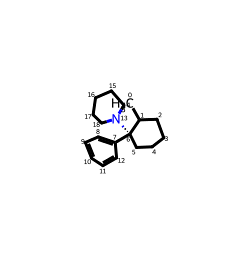 CC1CCCC[C@]1(c1ccccc1)N1CCCCC1